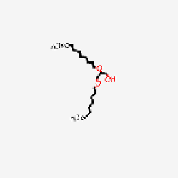 CCCCCCCCCCCCCCCCCCOC(CO)COCCCCCCCCCCCCCCCC